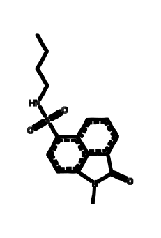 CCCCNS(=O)(=O)c1ccc2c3c(cccc13)C(=O)N2C